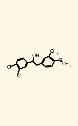 COc1ccc(CC(O)c2ccc(Cl)c(Br)c2)cc1C